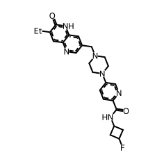 CCc1cc2ncc(CN3CCN(c4ccc(C(=O)NC5CC(F)C5)nc4)CC3)cc2[nH]c1=O